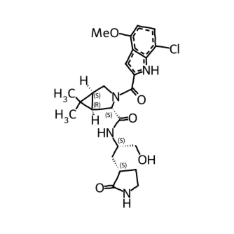 COc1ccc(Cl)c2[nH]c(C(=O)N3C[C@H]4[C@@H]([C@H]3C(=O)N[C@H](CO)C[C@@H]3CCNC3=O)C4(C)C)cc12